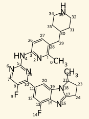 Cc1nc(Nc2ncc(F)c(-c3cc(F)c4nc5n(c4c3)C(C)CC5)n2)ccc1CC1CCNCC1